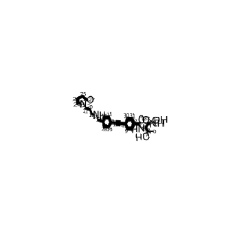 C[C@@H](O)[C@H](NC(=O)c1ccc(C#Cc2ccc(CNCCCN3CCCC3=O)cc2)cc1)C(=O)NO